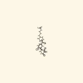 CN(C)CCCCC1CCN(C(=O)c2ccc(Cl)c(N3CCC(=O)NC3=O)c2)CC1